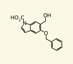 O=C(O)n1ccc2cc(OCc3ccccc3)c(CO)cc21